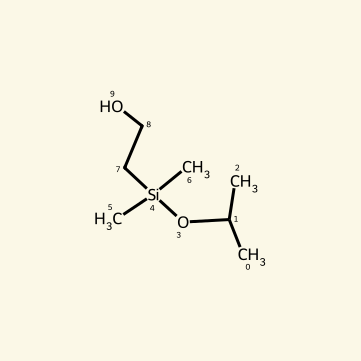 CC(C)O[Si](C)(C)CCO